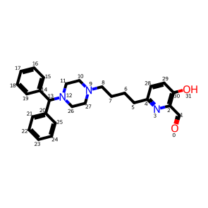 O=Cc1nc(CCCCN2CCN(C(c3ccccc3)c3ccccc3)CC2)ccc1O